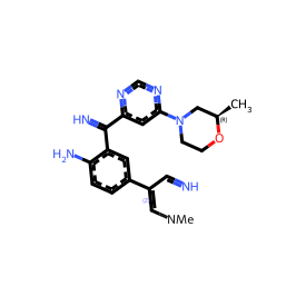 CN/C=C(\C=N)c1ccc(N)c(C(=N)c2cc(N3CCO[C@H](C)C3)ncn2)c1